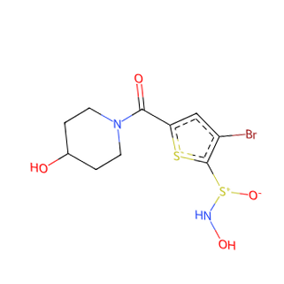 O=C(c1cc(Br)c([S+]([O-])NO)s1)N1CCC(O)CC1